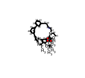 Cc1nc2cc3nn2c(c1[C@H](OC(C)(C)C)C(=O)O)-c1ccc2c(c1Cl)N(C/C=C/CCc1cccc(c1)-c1cccc-3c1)CCO2